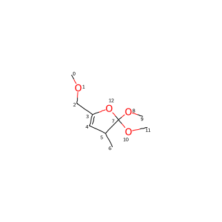 COCC1=CC(C)C(OC)(OC)O1